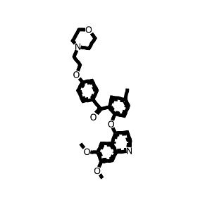 COc1cc2nccc(Oc3ccc(C)cc3C(=O)c3ccc(OCCN4CCOCC4)cc3)c2cc1OC